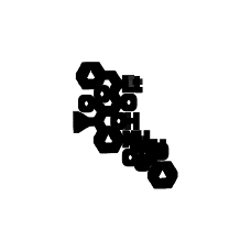 CCC(Cc1ccccc1)C1OC(=O)C(C(c2cccc(NC(=O)NS(=O)(=O)c3ccccc3)c2)C2CC2)=C(O)C1=O